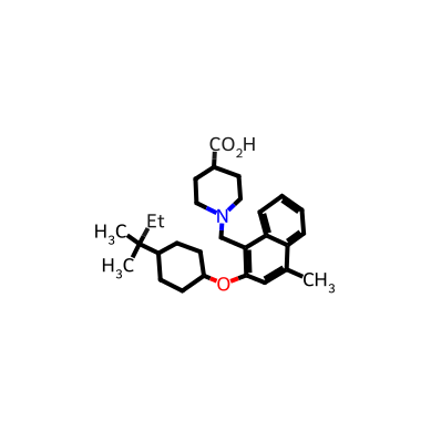 CCC(C)(C)C1CCC(Oc2cc(C)c3ccccc3c2CN2CCC(C(=O)O)CC2)CC1